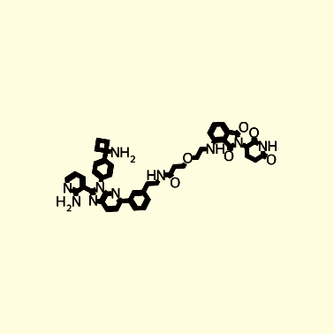 Nc1ncccc1-c1nc2ccc(-c3cccc(CCNC(=O)CCOCCNc4cccc5c4C(=O)N(C4CCC(=O)NC4=O)C5=O)c3)nc2n1-c1ccc(C2(N)CCC2)cc1